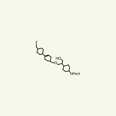 CCCCCC1CCC(C(CO)COCC2CC=C(C3CCC(CF)CC3)CC2)CC1